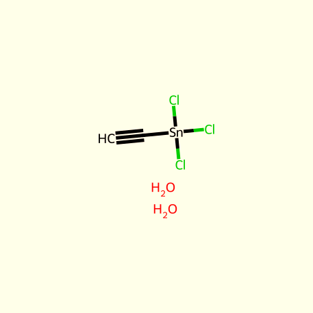 C#[C][Sn]([Cl])([Cl])[Cl].O.O